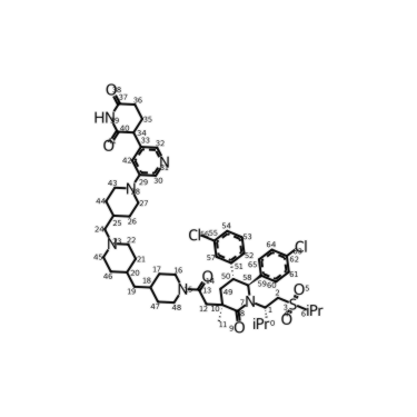 CC(C)[C@@H](CS(=O)(=O)C(C)C)N1C(=O)[C@@](C)(CC(=O)N2CCC(CC3CCN(CC4CCN(c5cncc(C6CCC(=O)NC6=O)c5)CC4)CC3)CC2)C[C@H](c2cccc(Cl)c2)[C@H]1c1ccc(Cl)cc1